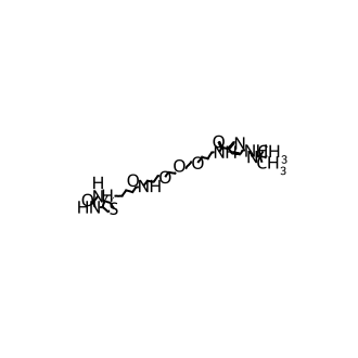 CC(C)=NNc1ccc(C(=O)NCCCOCCOCCOCCCNC(=O)CCCC[C@@H]2SCC3NC(=O)N[C@@H]32)cn1